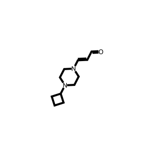 O=CC=CN1CCN(C2CCC2)CC1